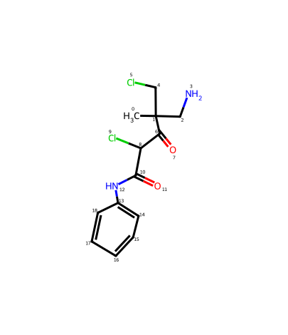 CC(CN)(CCl)C(=O)C(Cl)C(=O)Nc1ccccc1